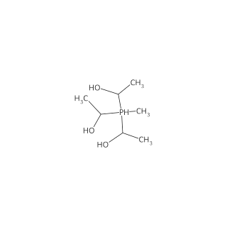 CC(O)[PH](C)(C(C)O)C(C)O